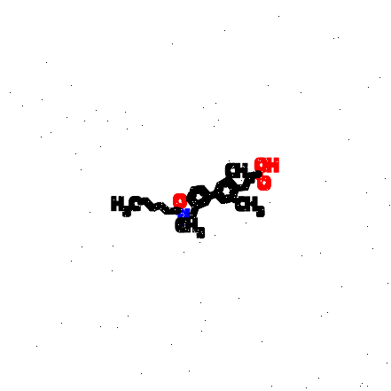 CCCCCC(=O)N(C)Cc1cccc(-c2cc(C)c(CCC(=O)O)c(C)c2)c1